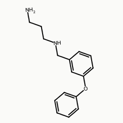 NCCCNCc1cccc(Oc2ccccc2)c1